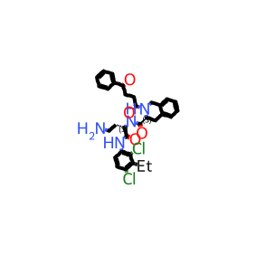 CCc1c(Cl)ccc(NC(=O)[C@H](CCN)NC(=O)[C@@H]2Cc3ccccc3CN2C(=O)CCC(=O)c2ccccc2)c1Cl